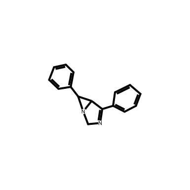 c1ccc(C2=NCN3C2C3c2ccccc2)cc1